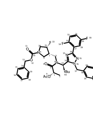 CC(=O)O[C@@H](C)C(=O)N(C[C@@H]1CN(C(=O)OCc2ccccc2)C[C@@H]1F)[C@@H](c1nc(-c2cc(F)ccc2F)nn1Cc1ccccc1)C(C)(C)C